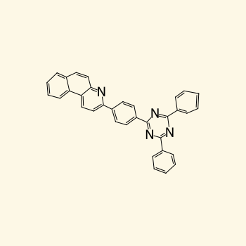 c1ccc(-c2nc(-c3ccccc3)nc(-c3ccc(-c4ccc5c(ccc6ccccc65)n4)cc3)n2)cc1